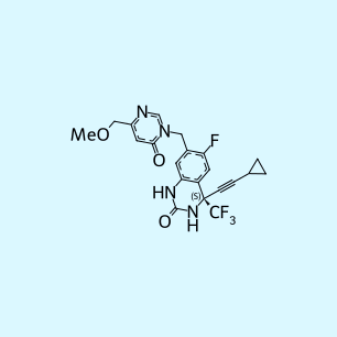 COCc1cc(=O)n(Cc2cc3c(cc2F)[C@@](C#CC2CC2)(C(F)(F)F)NC(=O)N3)cn1